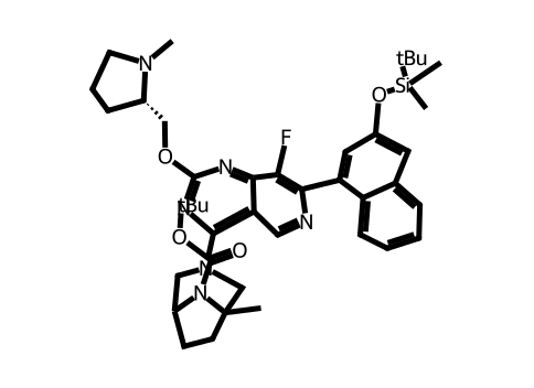 CN1CCC[C@H]1COc1nc(N2CC3CCC(C)(C2)N3C(=O)OC(C)(C)C)c2cnc(-c3cc(O[Si](C)(C)C(C)(C)C)cc4ccccc34)c(F)c2n1